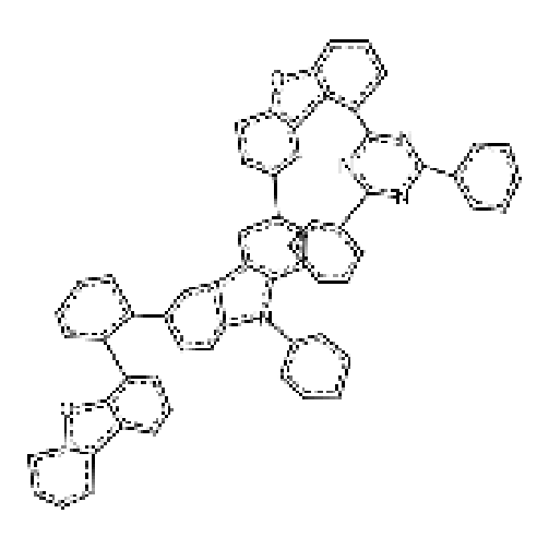 c1ccc(-c2nc(-c3ccccc3)nc(-c3cccc4oc5ccc(-c6ccc7c(c6)c6cc(-c8ccccc8-c8cccc9c8oc8ccccc89)ccc6n7-c6ccccc6)cc5c34)n2)cc1